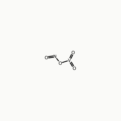 O=N[O][V](=[O])=[O]